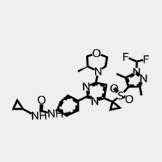 Cc1nn(C(F)F)c(C)c1S(=O)(=O)C1(c2cc(N3CCOC[C@@H]3C)nc(-c3ccc(NC(=O)NC4CC4)cc3)n2)CC1